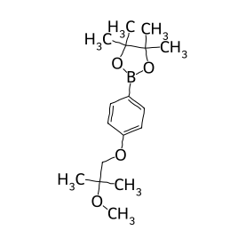 COC(C)(C)COc1ccc(B2OC(C)(C)C(C)(C)O2)cc1